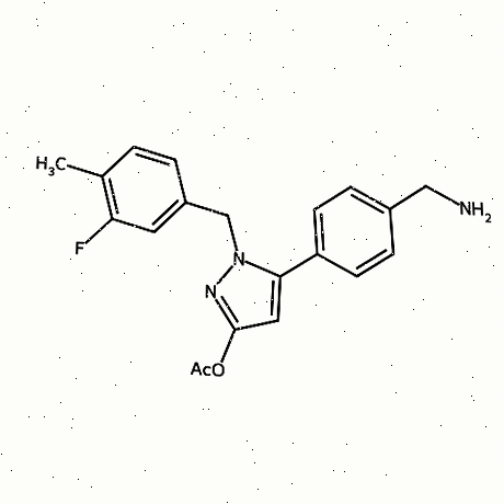 CC(=O)Oc1cc(-c2ccc(CN)cc2)n(Cc2ccc(C)c(F)c2)n1